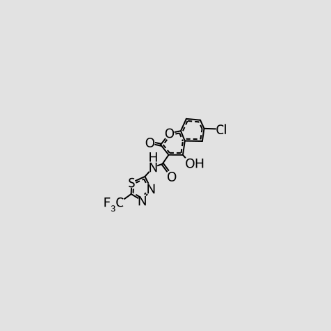 O=C(Nc1nnc(C(F)(F)F)s1)c1c(O)c2cc(Cl)ccc2oc1=O